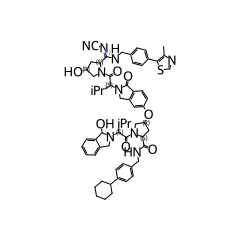 Cc1ncsc1-c1ccc(CN/C(=N/C#N)[C@@H]2C[C@@H](O)CN2C(=O)[C@H](C(C)C)N2Cc3cc(O[C@@H]4C[C@@H](C(=O)NCc5ccc(C6CCCCC6)cc5)N(C(=O)[C@H](C(C)C)N5Cc6ccccc6C5O)C4)ccc3C2=O)cc1